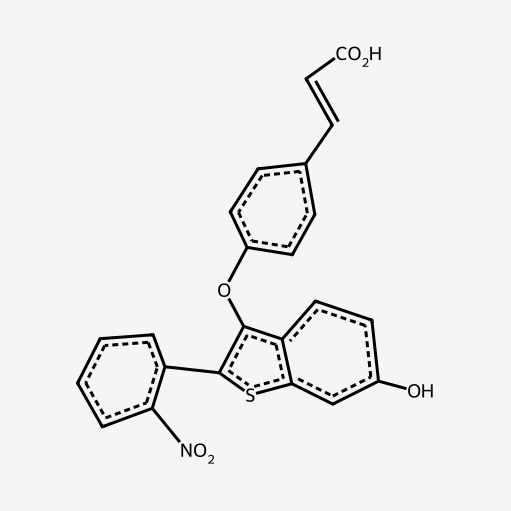 O=C(O)C=Cc1ccc(Oc2c(-c3ccccc3[N+](=O)[O-])sc3cc(O)ccc23)cc1